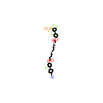 N#Cc1ccc(-c2ccc(OC(=O)CCCCCCCCCCC(=O)Oc3ccc(-c4cc(F)c(F)c(P)c4)c(F)c3)cc2F)cc1